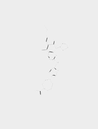 CCOC=Cc1c(C)c2cnc(Nc3ccc(N4CCCN(C(=O)O)CC4)cn3)nc2n(C2CCCC2)c1=O